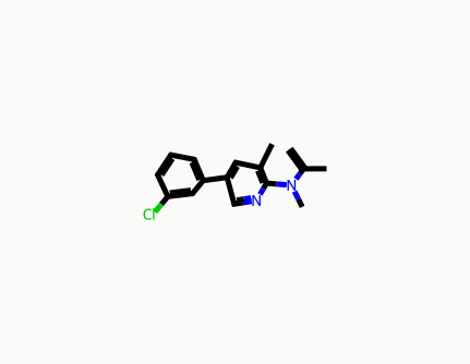 C=C(C)N(C)c1ncc(-c2cccc(Cl)c2)cc1C